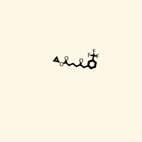 O=C(CCCC(=O)OC1CC1)Cc1cccc(C(F)(F)F)c1